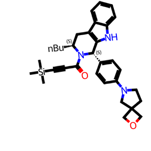 CCCC[C@H]1Cc2c([nH]c3ccccc23)[C@H](c2ccc(N3CCC4(COC4)C3)cc2)N1C(=O)C#C[Si](C)(C)C